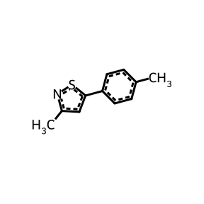 Cc1ccc(-c2cc(C)ns2)cc1